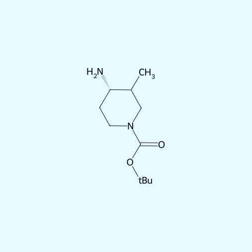 CC1CN(C(=O)OC(C)(C)C)CC[C@@H]1N